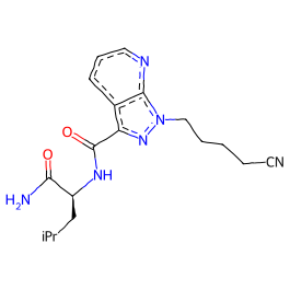 CC(C)C[C@H](NC(=O)c1nn(CCCCC#N)c2ncccc12)C(N)=O